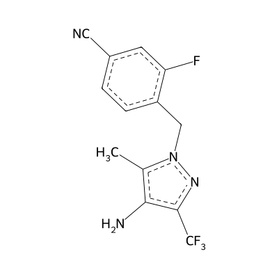 Cc1c(N)c(C(F)(F)F)nn1Cc1ccc(C#N)cc1F